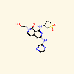 O=c1c2c(NC3CCS(=O)(=O)C3)nc(Nc3cnccn3)cc2ccn1CCO